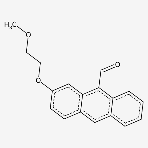 COCCOc1ccc2cc3ccccc3c(C=O)c2c1